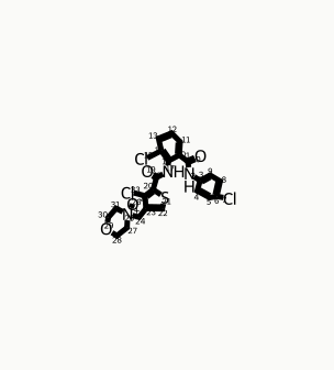 O=C(Nc1ccc(Cl)cc1)c1cccc(Cl)c1NC(=O)c1scc(C[N+]2([O-])CCOCC2)c1Cl